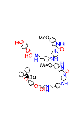 COc1ccc2[nH]c(C(=O)N3CCC(Nc4ccc(CCNCC(O)COc5ccc(O)cc5)cc4)CC3)cc2c1.COc1ccc2[nH]c(C(=O)N3CCC(Nc4ccc(CCNC[C@H](O)COc5ccc(O[Si](c6ccccc6)(c6ccccc6)C(C)(C)C)cc5)cc4)CC3)cc2c1